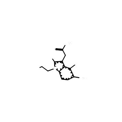 COC(=O)Cc1c(C)n(CCO)c2ccc(OC)c(F)c12